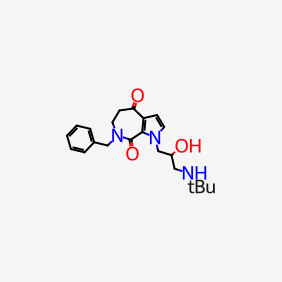 CC(C)(C)NCC(O)Cn1ccc2c1C(=O)N(Cc1ccccc1)CCC2=O